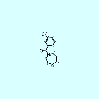 O=C(c1cccc(Cl)c1)N1CCCCCC1